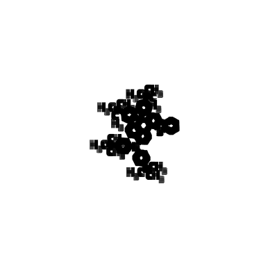 CC(C)(C)c1ccc(N(c2ccc(C(C)(C)C)cc2)c2ccc3c4c(cccc24)C(c2ccc(C(C)(C)C)cc2)(c2ccc(C(C)(C)C)cc2)c2ccc4c(sc5ccccc54)c2-3)cc1